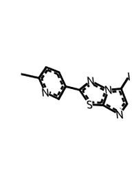 Cc1ccc(-c2nn3c(I)cnc3s2)cn1